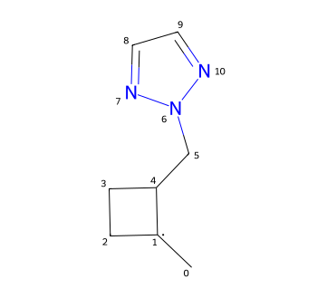 C[C]1CCC1Cn1nccn1